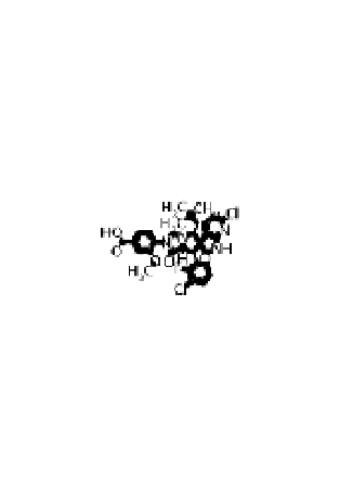 COc1cc(C(=O)O)ccc1N1CN2[C@@H](CC(C)(C)C)C3(C(=O)Nc4nc(Cl)ccc43)[C@@H](c3cccc(Cl)c3F)[C@@H]2C1=O